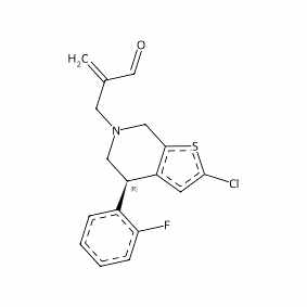 C=C(C=O)CN1Cc2sc(Cl)cc2[C@@H](c2ccccc2F)C1